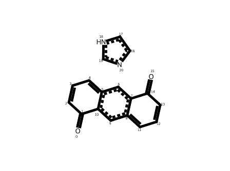 O=C1C=CC=c2cc3c(cc21)=CC=CC3=O.c1c[nH]cn1